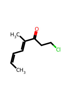 C/C=C\C=C(/C)C(=O)CCCl